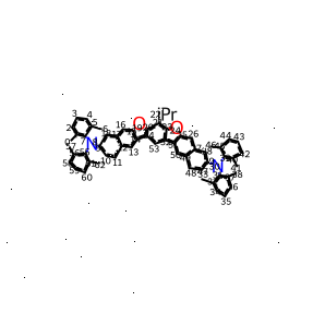 Cc1cccc(C)c1N(c1ccc2cc3c(cc2c1)oc1c(C(C)C)c2oc4cc5cc(N(c6c(C)cccc6C)c6c(C)cccc6C)ccc5cc4c2cc13)c1c(C)cccc1C